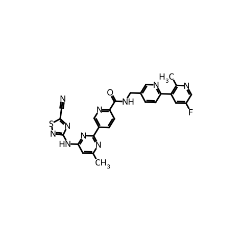 Cc1cc(Nc2nsc(C#N)n2)nc(-c2ccc(C(=O)NCc3ccc(-c4cc(F)cnc4C)nc3)nc2)n1